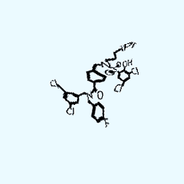 CC(C)CCCN(Cc1ccc(C(=O)N(Cc2ccc(F)cc2)Cc2cc(Cl)cc(Cl)c2)cc1)S(=O)(=O)c1cc(Cl)cc(Cl)c1O